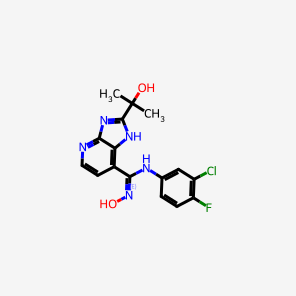 CC(C)(O)c1nc2nccc(/C(=N\O)Nc3ccc(F)c(Cl)c3)c2[nH]1